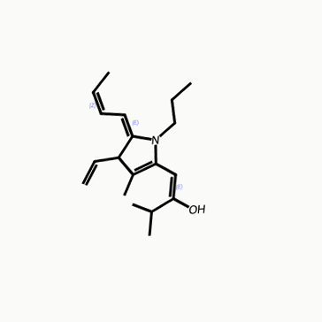 C=CC1C(C)=C(/C=C(/O)C(C)C)N(CCC)/C1=C/C=C\C